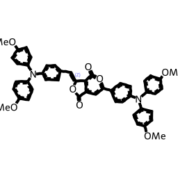 COc1ccc(N(c2ccc(/C=C3\OC(=O)c4cc(-c5ccc(N(c6ccc(OC)cc6)c6ccc(OC)cc6)cc5)oc(=O)c43)cc2)c2ccc(OC)cc2)cc1